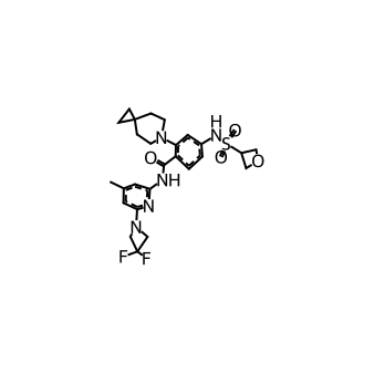 Cc1cc(NC(=O)c2ccc(NS(=O)(=O)C3COC3)cc2N2CCC3(CC2)CC3)nc(N2CC(F)(F)C2)c1